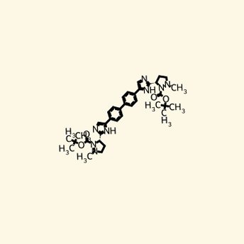 CN1CC[C@@H](c2ncc(-c3ccc(-c4ccc(-c5cnc([C@@H]6CCN(C)N6C(=O)OC(C)(C)C)[nH]5)cc4)cc3)[nH]2)N1C(=O)OC(C)(C)C